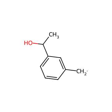 [CH2]c1cccc(C(C)O)c1